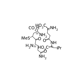 CC(C)C[C@H](NC(=O)CC[C@H](N)C(=O)O)C(=O)O.CSC(C[C@H](N)C(=O)O)C(=O)[C@@H](N)CCC(N)=O